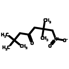 CC(C)(C)CC(=O)CC(C)(C)C[N+](=O)[O-]